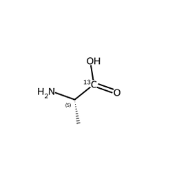 C[C@H](N)[13C](=O)O